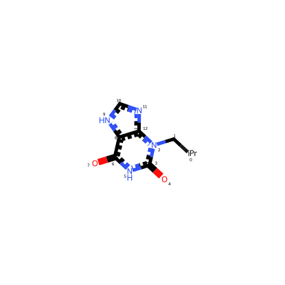 CC(C)Cn1c(=O)[nH]c(=O)c2[nH]cnc21